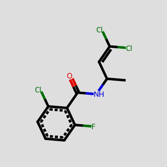 CC(C=C(Cl)Cl)NC(=O)c1c(F)cccc1Cl